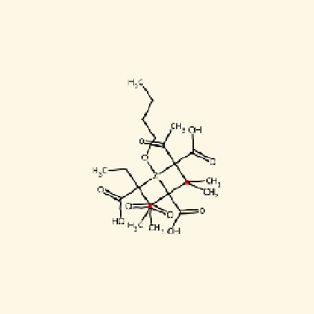 CCCC[O][Zr]([C](CC)(C(C)=O)C(=O)O)([C](CC)(C(C)=O)C(=O)O)[C](CC)(C(C)=O)C(=O)O